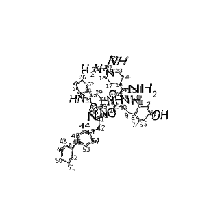 Cc1cc(O)cc(C)c1CC(NC(=O)C(N)C1CCN(C(=N)N)CC1)C(=O)NC(Cc1c[nH]c2ccccc12)c1nc(Cc2ccc(-c3ccccc3)cc2)no1